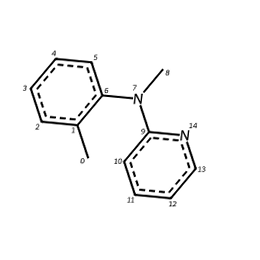 Cc1ccccc1N(C)c1ccccn1